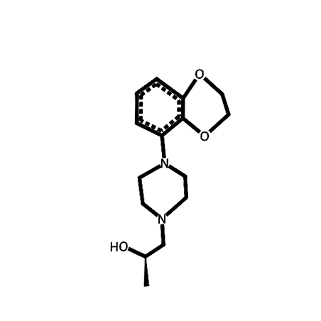 C[C@@H](O)CN1CCN(c2cccc3c2OCCO3)CC1